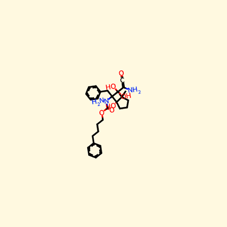 CC1(C)CCCC1(O)C(Cc1ccccc1)(N(N)C(=O)OCCCCc1ccccc1)C(O)(O)C(N)=C=O